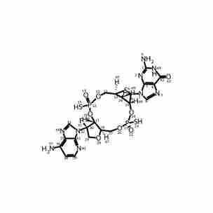 Nc1nc2c(ncn2[C@@H]2S[C@@H]3COP(=O)(S)O[C@@H]4[C@@H](COP(=O)(S)O[C@@H]2[C@H]3F)OC[C@]4(F)n2cnc3c(N)ccnc32)c(=O)[nH]1